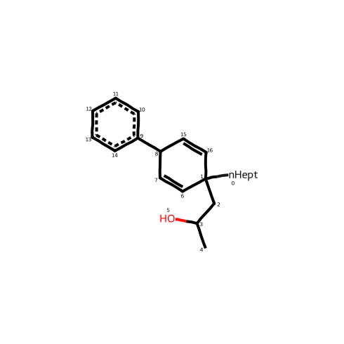 CCCCCCCC1(CC(C)O)C=CC(c2ccccc2)C=C1